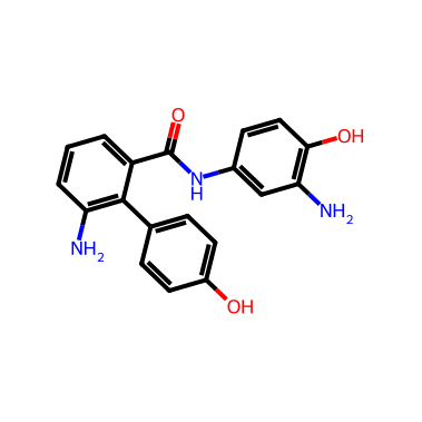 Nc1cc(NC(=O)c2cccc(N)c2-c2ccc(O)cc2)ccc1O